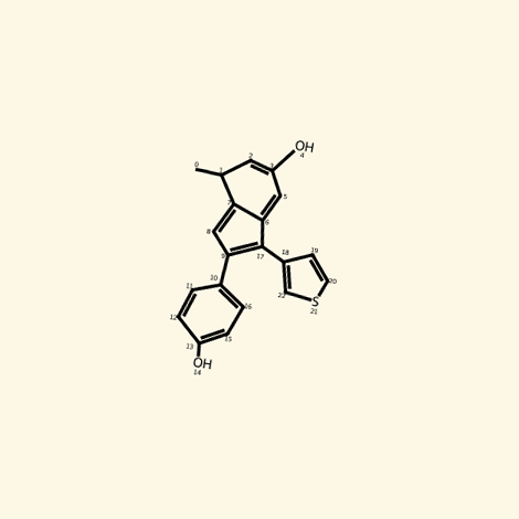 CC1C=C(O)C=C2C1=CC(c1ccc(O)cc1)=C2c1ccsc1